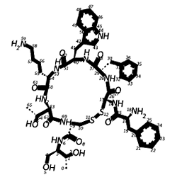 C[C@@H](O)[C@@H](CO)NC(=O)[C@H]1CSS[C@H](NC(=O)[C@@H](N)Cc2ccccc2)C(=O)N[C@@H](Cc2ccccc2)C(=O)N[C@H](Cc2c[nH]c3ccccc23)C(=O)N[C@@H](CCCCN)C(=O)N[C@H]([C@@H](C)O)C(=O)N1